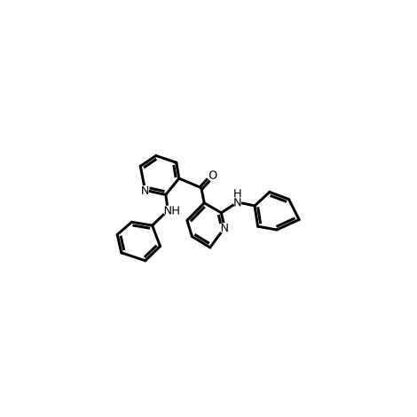 O=C(c1cccnc1Nc1ccccc1)c1cccnc1Nc1ccccc1